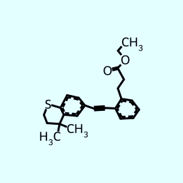 CCOC(=O)CCc1ccccc1C#Cc1ccc2c(c1)C(C)(C)CCS2